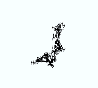 CC(=O)C(CCC(=O)NCCNC(=O)CC[C@H](NC(=O)c1ccc(NCc2cnc3nc(N)[nH]c(=O)c3n2)cc1)C(=O)O)N1CCN(CC(=O)O)CCN(CC(=O)O)CC1